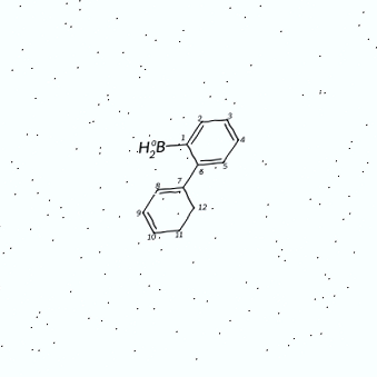 Bc1ccccc1C1=CC=CCC1